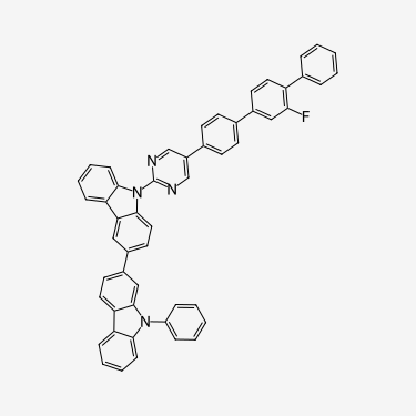 Fc1cc(-c2ccc(-c3cnc(-n4c5ccccc5c5cc(-c6ccc7c8ccccc8n(-c8ccccc8)c7c6)ccc54)nc3)cc2)ccc1-c1ccccc1